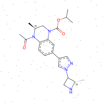 CC(=O)N1c2ccc(-c3cnn(C4CN[C@H]4C)c3)cc2N(C(=O)OC(C)C)C[C@@H]1C